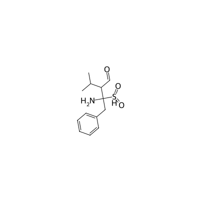 CC(C)C(C=O)C(N)(Cc1ccccc1)[SH](=O)=O